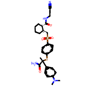 CN(C)c1ccc(C(C)(Sc2ccc(S(=O)(=O)C[C@H]3CCCC[C@@H]3C(=O)NCC#N)cc2)C(N)=O)cc1